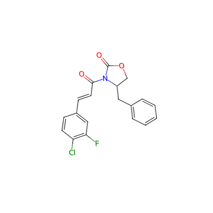 O=C(C=Cc1ccc(Cl)c(F)c1)N1C(=O)OCC1Cc1ccccc1